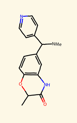 CNC(c1ccncc1)c1ccc2c(c1)NC(=O)C(C)O2